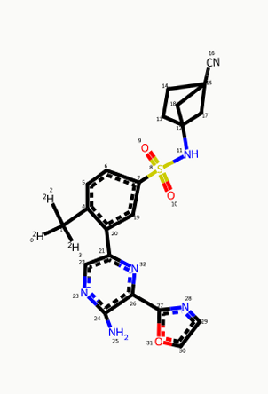 [2H]C([2H])([2H])c1ccc(S(=O)(=O)NC23CCC(C#N)(C2)C3)cc1-c1cnc(N)c(-c2ncco2)n1